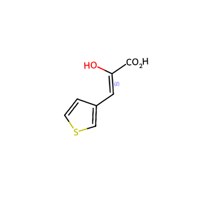 O=C(O)/C(O)=C/c1ccsc1